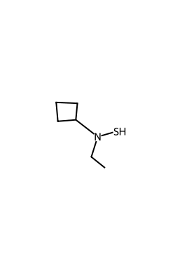 CCN(S)C1CCC1